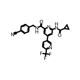 N#Cc1ccc(CNC(=O)c2cc(-c3ccc(C(F)(F)F)nc3)cc(NC(=O)C3CC3)n2)cc1